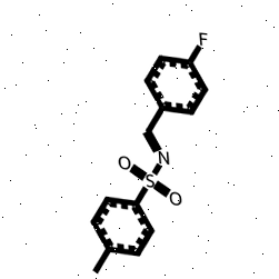 Cc1ccc(S(=O)(=O)N=Cc2ccc(F)cc2)cc1